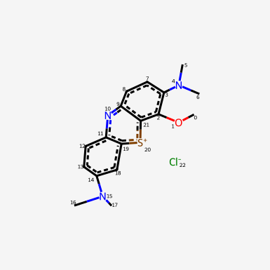 COc1c(N(C)C)ccc2nc3ccc(N(C)C)cc3[s+]c12.[Cl-]